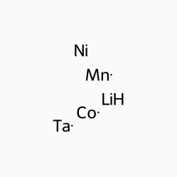 [Co].[LiH].[Mn].[Ni].[Ta]